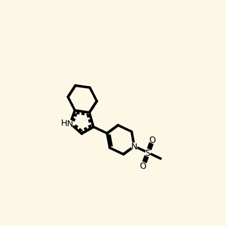 CS(=O)(=O)N1CC=C(c2c[nH]c3c2CCCC3)CC1